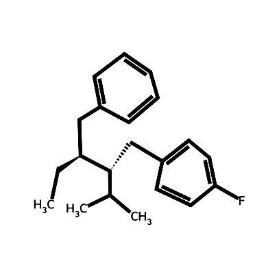 CC[C@@H](Cc1ccccc1)[C@H](Cc1ccc(F)cc1)C(C)C